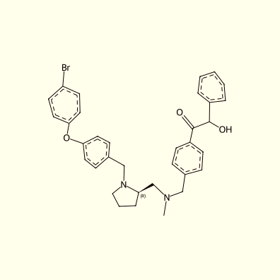 CN(Cc1ccc(C(=O)C(O)c2ccccc2)cc1)C[C@H]1CCCN1Cc1ccc(Oc2ccc(Br)cc2)cc1